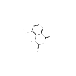 COc1cccc2c(=O)oc(=O)[nH]c12